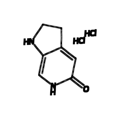 Cl.Cl.O=c1cc2c(c[nH]1)NCC2